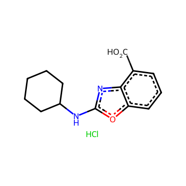 Cl.O=C(O)c1cccc2oc(NC3CCCCC3)nc12